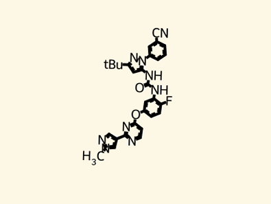 Cn1cc(-c2nccc(Oc3ccc(F)c(NC(=O)Nc4cc(C(C)(C)C)nn4-c4cccc(C#N)c4)c3)n2)cn1